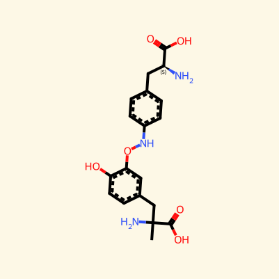 CC(N)(Cc1ccc(O)c(ONc2ccc(C[C@H](N)C(=O)O)cc2)c1)C(=O)O